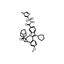 COc1ccc2c(c1)C1CC1(C(=O)N1C3CCC1CN(C)C3)Cn1c-2c(C2CCCCC2)c2ccc(C(=O)NS(=O)(=O)c3cn(C)cn3)cc21